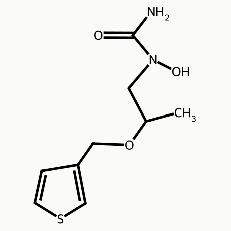 CC(CN(O)C(N)=O)OCc1ccsc1